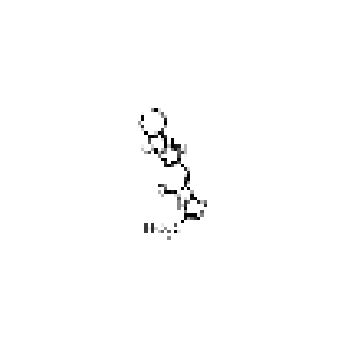 O=C(O)C1=CSC2C(=Cc3cc4oc5c(n4n3)CCCC5)C(=O)N12